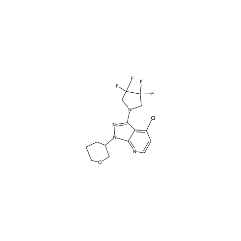 FC1(F)CN(c2nn(C3CCCOC3)c3nccc(Cl)c23)CC1(F)F